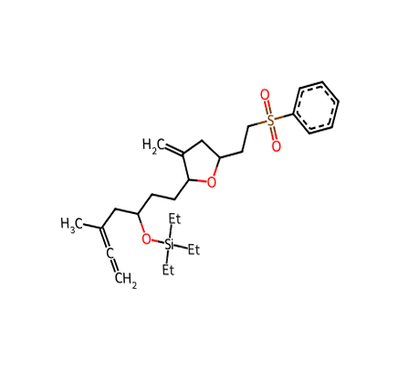 C=C=C(C)CC(CCC1OC(CCS(=O)(=O)c2ccccc2)CC1=C)O[Si](CC)(CC)CC